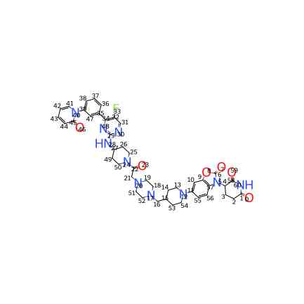 O=C1CCC(n2c(=O)oc3cc(N4CCC(CN5CCN(CC(=O)N6CCC(Nc7ncc(F)c(-c8cccc(-n9ccccc9=O)c8)n7)CC6)CC5)CC4)ccc32)C(=O)N1